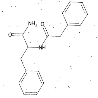 NC(=O)C(Cc1ccccc1)NC(=O)Cc1ccccc1